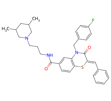 CC1CC(C)CN(CCCNC(=O)c2ccc3c(c2)N(Cc2ccc(F)cc2)C(=O)C(=Cc2ccccc2)S3)C1